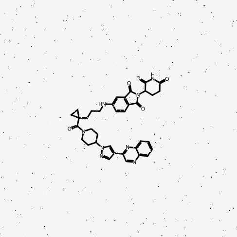 O=C1CCC(N2C(=O)c3ccc(NCCCC4(C(=O)N5CCC(n6cc(-c7cnc8ccccc8n7)cn6)CC5)CC4)cc3C2=O)C(=O)N1